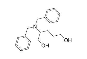 OCCCC(CO)N(Cc1ccccc1)Cc1ccccc1